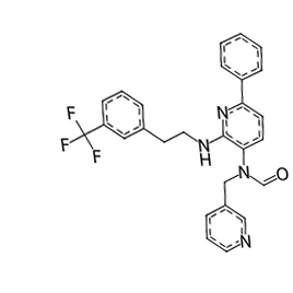 O=CN(Cc1cccnc1)c1ccc(-c2ccccc2)nc1NCCc1cccc(C(F)(F)F)c1